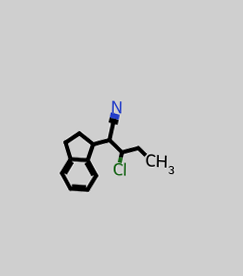 CCC(Cl)C(C#N)C1CCc2ccccc21